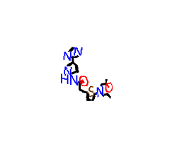 CC1CN(c2ccc(CC(=O)Nc3ccc(-c4cnccn4)cn3)s2)CC(C)O1